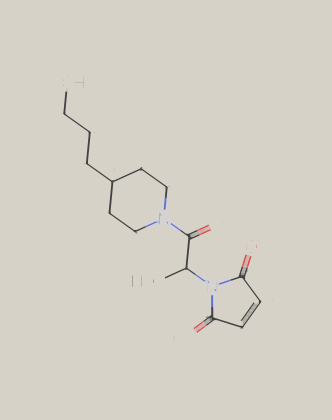 CCCCC1CCN(C(=O)C(C)N2C(=O)C=CC2=O)CC1